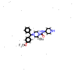 CC(C)(C)[C@H]1CN(C(c2ccccc2)c2ccc(OC(F)(F)F)cc2)CCN1C(=O)NC1CCNCC1